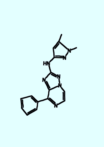 Cc1cc(Nc2nc3c(-c4ccccc4)nccn3n2)nn1C